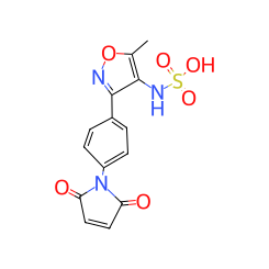 Cc1onc(-c2ccc(N3C(=O)C=CC3=O)cc2)c1NS(=O)(=O)O